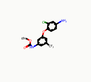 CC(C)(C)OC(=O)Nc1cc(Oc2ccc(N)cc2Cl)cc(C(F)(F)F)c1